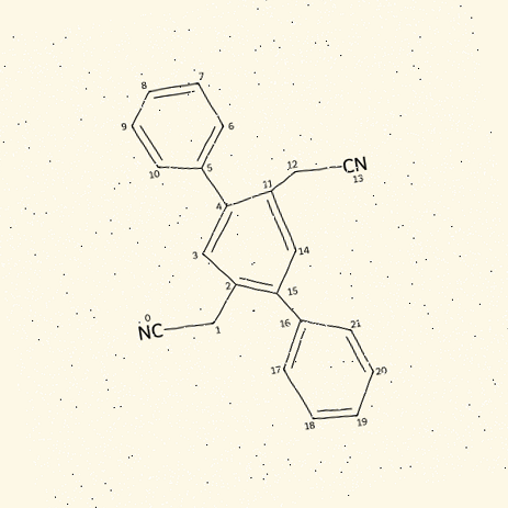 N#CCc1cc(-c2ccccc2)c(CC#N)cc1-c1ccccc1